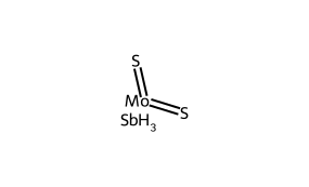 [S]=[Mo]=[S].[SbH3]